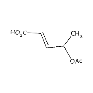 CC(=O)OC(C)C=CC(=O)O